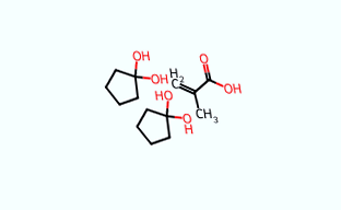 C=C(C)C(=O)O.OC1(O)CCCC1.OC1(O)CCCC1